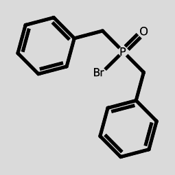 O=P(Br)(Cc1ccccc1)Cc1ccccc1